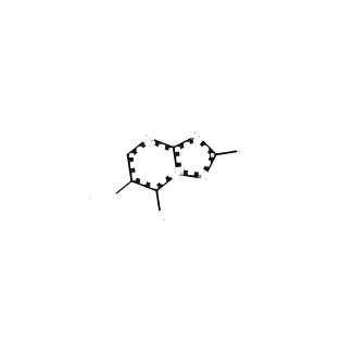 O=C(O)c1nc2ncc(C(=O)O)c(S)n2n1